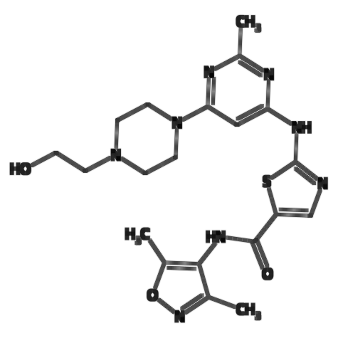 Cc1nc(Nc2ncc(C(=O)Nc3c(C)noc3C)s2)cc(N2CCN(CCO)CC2)n1